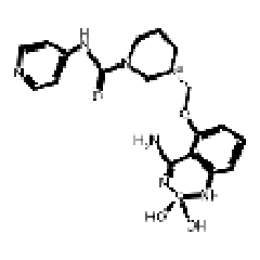 NC1=NS(O)(O)Nc2cccc(OC[C@H]3CCCN(C(=O)Nc4ccncc4)C3)c21